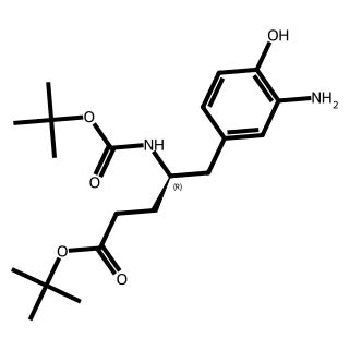 CC(C)(C)OC(=O)CC[C@H](Cc1ccc(O)c(N)c1)NC(=O)OC(C)(C)C